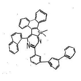 C[Si]1(C)c2nc(-c3cccc(-c4cccc(-c5ccccc5)c4)c3)nc(-c3cccc4ccccc34)c2-c2c1c1ccccc1c1ccccc21